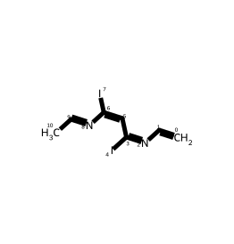 C=C\N=C(I)/C=C(I)\N=C\C